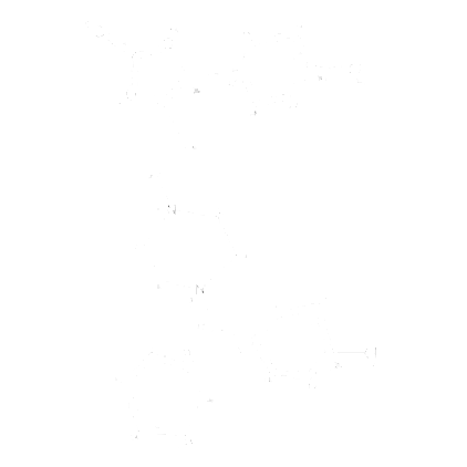 O=c1oc(CCN2CCN(C(c3ccccc3)c3ccc(Cl)cc3)CC2)c(-c2ccc(Cl)cc2)o1